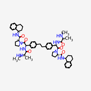 CN[C@@H](C)C(=O)NC(C(=O)N1CCC[C@H]1C(=O)N[C@@H]1CCCc2ccccc21)c1ccc(CCc2ccc([C@H](NC(=O)[C@H](C)NC)C(=O)N3CCC[C@H]3C(=O)NC3CCCc4ccccc43)cc2)cc1